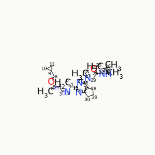 C=C(/N=C\C=C(/C)OCC1CC1)c1nc2c(c(N(C)CC(=O)NC(C)(C)C)n1)CCC2